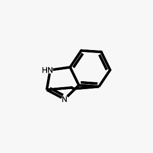 c1cc2c3nc([nH]c3c1)CC2